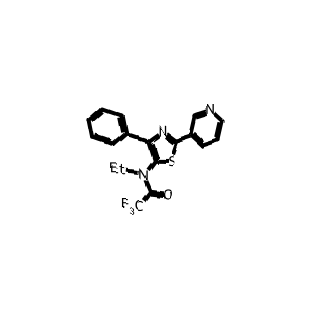 CCN(C(=O)C(F)(F)F)c1sc(-c2cccnc2)nc1-c1ccccc1